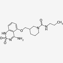 CCCNC(=O)N1CCCC(COc2cccc3c2C(N)=NS(=O)(=O)N3)C1